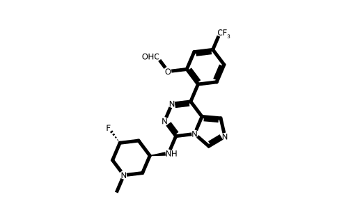 CN1C[C@H](F)C[C@@H](Nc2nnc(-c3ccc(C(F)(F)F)cc3OC=O)c3cncn23)C1